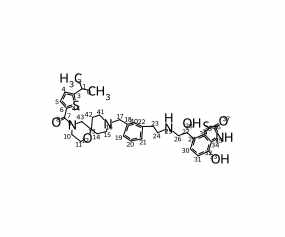 CC(C)c1ccc(C(=O)N2CCOC3(CCN(Cc4cccc(CCNC[C@H](O)c5ccc(O)c6[nH]c(=O)sc56)c4)CC3)C2)s1